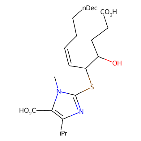 CCCCCCCCCCCC/C=C\C(Sc1nc(C(C)C)c(C(=O)O)n1C)C(O)CCC(=O)O